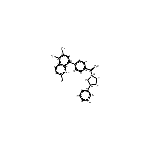 Cc1ccc2c(F)c(F)cc(-c3ccc(C(=O)N4CCC(c5cccnc5)C4)cc3)c2n1